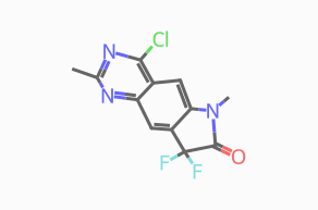 Cc1nc(Cl)c2cc3c(cc2n1)C(F)(F)C(=O)N3C